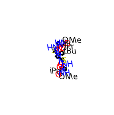 COC(=O)N[C@H](C(=O)N1CCC[C@H]1C(=O)Nc1nc(C2CCC(c3csc(NC(=O)[C@@H]4CCCN4C(=O)[C@@H](NC(=O)OC)C(C)C)n3)N2c2ccc(C(C)(C)C)cc2)cs1)C(C)C